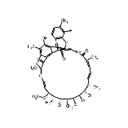 CO[C@H]1/C=C/O[C@@]2(C)Oc3c(C)c(O)c4c(=O)c(c5oc6c(F)c(C)ccc6nc-5c4c3C2=O)NC(=O)/C(C)=C\C=C\[C@H](C)[C@H](O)[C@@H](C)[C@@H](O)[C@@H](C)[C@H](O)[C@@H]1C